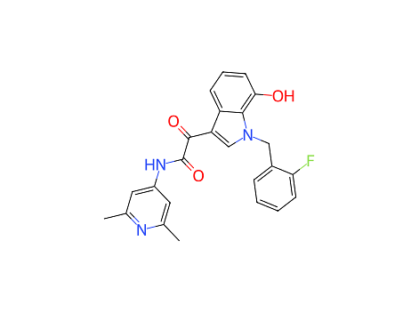 Cc1cc(NC(=O)C(=O)c2cn(Cc3ccccc3F)c3c(O)cccc23)cc(C)n1